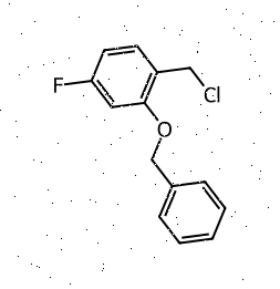 Fc1ccc(CCl)c(OCc2ccccc2)c1